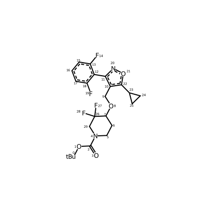 CC(C)(C)OC(=O)N1CCC(OCc2c(-c3c(F)cccc3F)noc2C2CC2)C(F)(F)C1